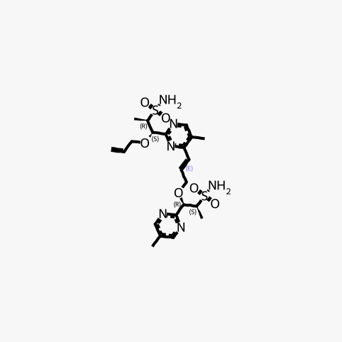 C=CCO[C@@H](c1ncc(C)c(/C=C/CO[C@H](c2ncc(C)cn2)[C@H](C)S(N)(=O)=O)n1)[C@@H](C)S(N)(=O)=O